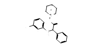 O=C(O[N+]12CCC(CC1)CC2)C(Nc1cccc(F)c1)c1ccccc1